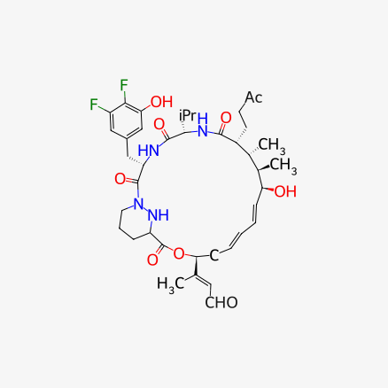 CC(=O)CC[C@H]1C(=O)N[C@@H](C(C)C)C(=O)N[C@@H](Cc2cc(O)c(F)c(F)c2)C(=O)N2CCCC(N2)C(=O)O[C@H](/C(C)=C/C=O)C/C=C/C=C/[C@H](O)[C@H](C)[C@H]1C